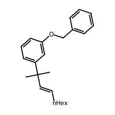 CCCCCCC=CC(C)(C)c1cccc(OCc2ccccc2)c1